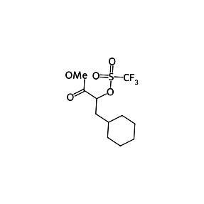 COC(=O)C(CC1CCCCC1)OS(=O)(=O)C(F)(F)F